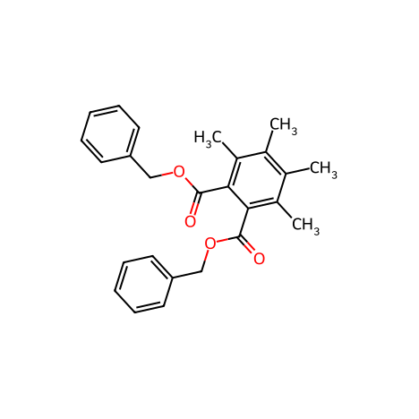 Cc1c(C)c(C)c(C(=O)OCc2ccccc2)c(C(=O)OCc2ccccc2)c1C